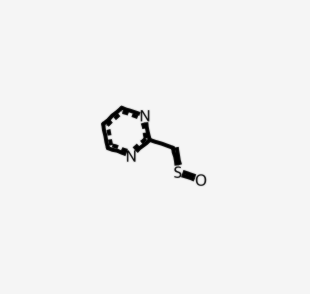 O=S=[C]c1ncccn1